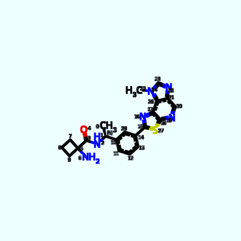 C[C@H](NC(=O)C1(N)CCC1)c1cccc(-c2nc3c(ncc4ncn(C)c43)s2)c1